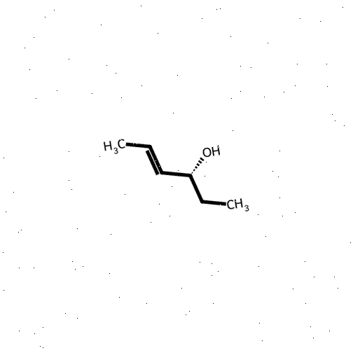 C/C=C/[C@H](O)CC